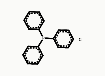 [C].c1ccc(P(c2ccccc2)c2ccccc2)cc1